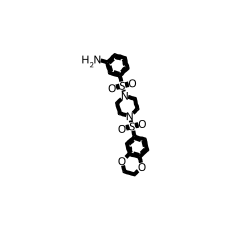 Nc1cccc(S(=O)(=O)N2CCN(S(=O)(=O)c3ccc4c(c3)OCCO4)CC2)c1